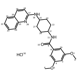 COc1cc(OC)cc(C(=O)NC2CCC(Nc3ccc4ccccc4n3)CC2)c1.Cl